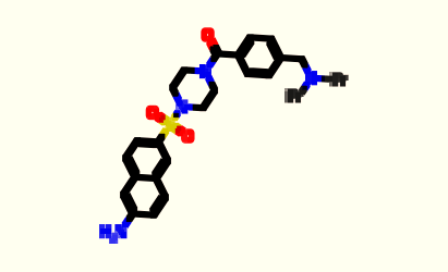 CC(C)N(Cc1ccc(C(=O)N2CCN(S(=O)(=O)c3ccc4cc(N)ccc4c3)CC2)cc1)C(C)C